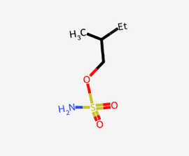 CCC(C)COS(N)(=O)=O